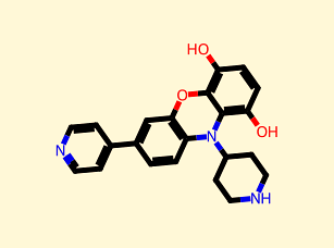 Oc1ccc(O)c2c1Oc1cc(-c3ccncc3)ccc1N2C1CCNCC1